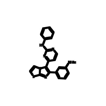 CC(=O)Nc1cccc(-c2nc3sccn3c2-c2ccnc(Nc3ccccc3)n2)c1